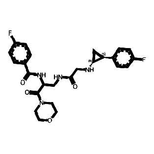 O=C(CN[C@@H]1C[C@H]1c1ccc(F)cc1)NCC(NC(=O)c1ccc(F)cc1)C(=O)N1CCOCC1